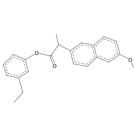 CCc1cccc(OC(=O)C(C)c2ccc3cc(OC)ccc3c2)c1